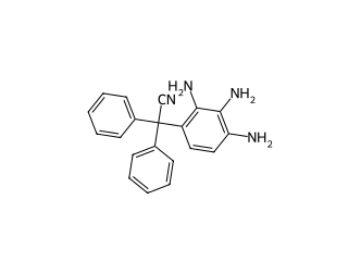 N#CC(c1ccccc1)(c1ccccc1)c1ccc(N)c(N)c1N